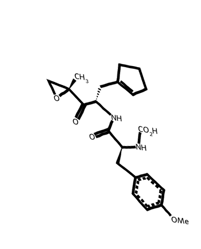 COc1ccc(C[C@H](NC(=O)O)C(=O)N[C@@H](CC2=CCCC2)C(=O)[C@@]2(C)CO2)cc1